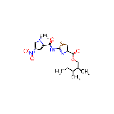 CCC(C)C(C)COC(=O)c1csc(NC(=O)c2cc([N+](=O)[O-])cn2C)n1